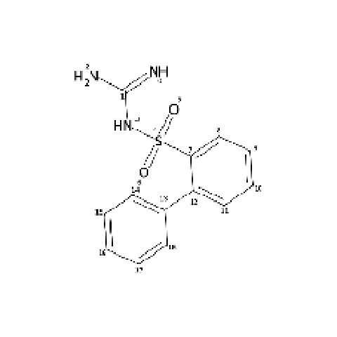 N=C(N)NS(=O)(=O)c1ccccc1-c1ccccc1